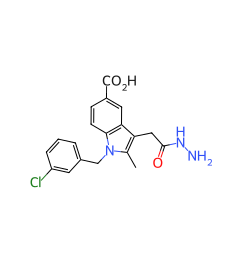 Cc1c(CC(=O)NN)c2cc(C(=O)O)ccc2n1Cc1cccc(Cl)c1